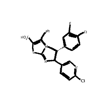 CC(C)C1=C(C(=O)O)SC2=NC(c3ccc(Cl)nc3)[C@@H](c3ccc(Cl)c(F)c3)N21